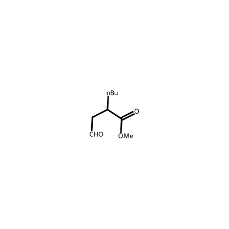 CCCCC(CC=O)C(=O)OC